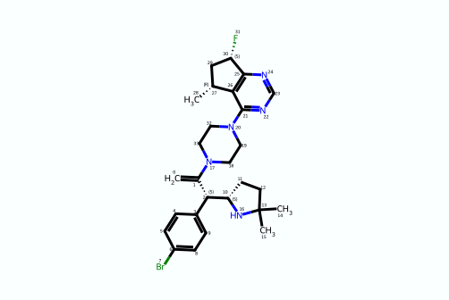 C=C([C@@H](c1ccc(Br)cc1)[C@@H]1CCC(C)(C)N1)N1CCN(c2ncnc3c2[C@H](C)C[C@@H]3F)CC1